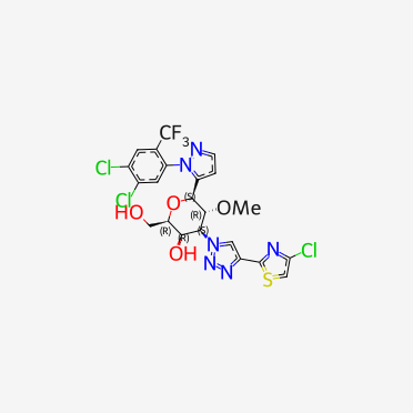 CO[C@@H]1[C@@H](n2cc(-c3nc(Cl)cs3)nn2)[C@@H](O)[C@@H](CO)O[C@H]1c1ccnn1-c1cc(Cl)c(Cl)cc1C(F)(F)F